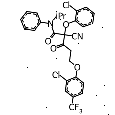 CC(C)N(C(=O)C(C#N)(Oc1ccccc1Cl)C(=O)CCOc1ccc(C(F)(F)F)cc1Cl)c1ccccc1